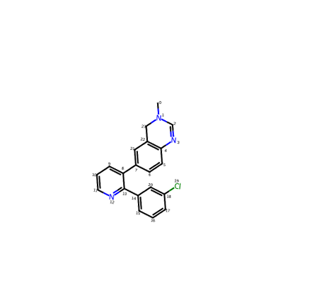 CN1C=Nc2ccc(-c3cccnc3-c3cccc(Cl)c3)cc2C1